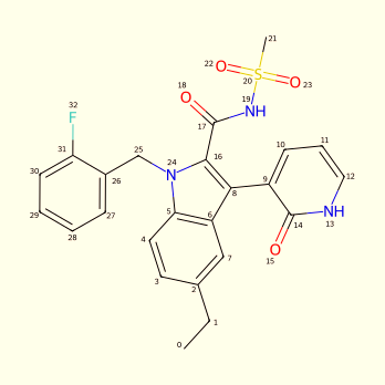 CCc1ccc2c(c1)c(-c1ccc[nH]c1=O)c(C(=O)NS(C)(=O)=O)n2Cc1ccccc1F